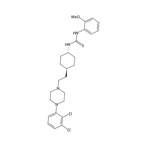 COc1ccccc1NC(=S)N[C@H]1CC[C@H](CCN2CCN(c3cccc(Cl)c3Cl)CC2)CC1